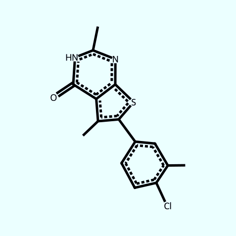 Cc1nc2sc(-c3ccc(Cl)c(C)c3)c(C)c2c(=O)[nH]1